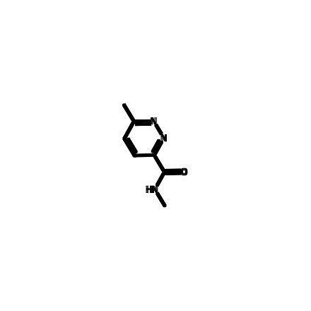 CNC(=O)c1ccc(C)nn1